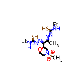 CCN/C(S)=N/N=C(/C(C)=N/N=C(\S)NCC)C1CN(S(C)(=O)=O)CCO1